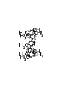 Cc1cc(-c2ccc3c(c2)C(C)(C)CCC3(C)C)ncc1-c1ccc2c(c1)C(C)(C)CCC2(C)C